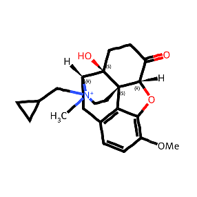 COc1ccc2c3c1O[C@H]1C(=O)CC[C@@]4(O)[C@@H](C2)[N+](C)(CC2CC2)CC[C@]314